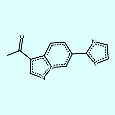 CC(=O)c1cnn2cc(-c3nccs3)ccc12